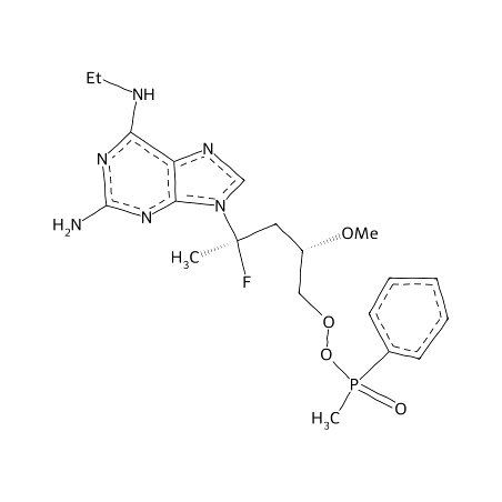 CCNc1nc(N)nc2c1ncn2[C@](C)(F)C[C@@H](COOP(C)(=O)c1ccccc1)OC